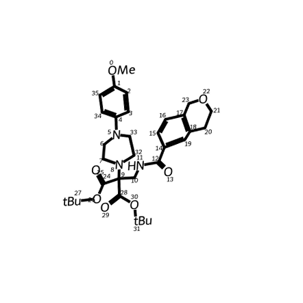 COc1ccc(N2CCN(C(CNC(=O)c3ccc4c(c3)CCOC4)(C(=O)OC(C)(C)C)C(=O)OC(C)(C)C)CC2)cc1